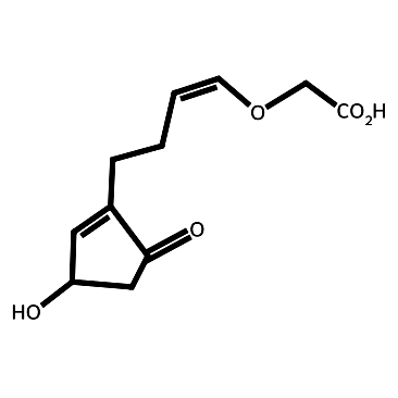 O=C(O)CO/C=C\CCC1=CC(O)CC1=O